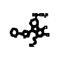 N#CCOc1cc(Cl)c(Cl)c2c1c(-c1cnn(C3CCCCO3)c1)c1n2CC(NC(=O)O)CC1